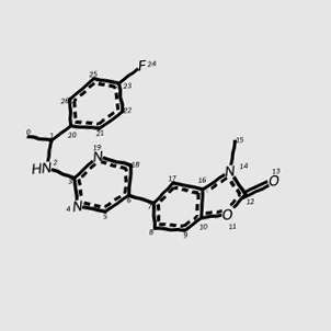 CC(Nc1ncc(-c2ccc3oc(=O)n(C)c3c2)cn1)c1ccc(F)cc1